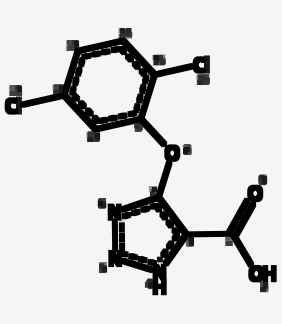 O=C(O)c1[nH]nnc1Oc1cc(Cl)ccc1Cl